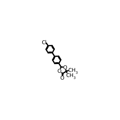 CC1(C)OC(c2ccc(-c3ccc(Cl)cc3)cc2)OC1=O